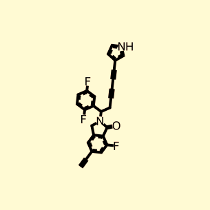 C#Cc1cc(F)c2c(c1)CN(C(CC#CC#Cc1cc[nH]c1)c1cc(F)ccc1F)C2=O